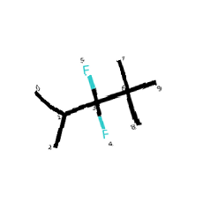 CC(C)C(F)(F)C(C)(C)C